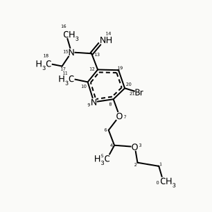 CCCOC(C)COc1nc(C)c(C(=N)N(C)CC)cc1Br